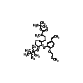 C=Cc1ccc(OCOC)c(O[C@H]2C(CCN(C)C(=O)OC(C)(C)C)=CCC[C@@H]2O[Si](C)(C)C(C)(C)C)c1